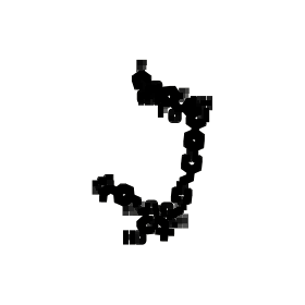 Cc1ncsc1-c1ccc(CNC(=O)[C@@H]2C[C@@H](O)CN2C(=O)[C@@H](NC(=O)CN2CCN(CCC3CCN(c4ccc(-c5cnc6[nH]cc(C(=O)c7c(F)ccc(NS(=O)(=O)N8CC[C@@H](F)C8)c7F)c6c5)cc4)CC3)CC2)C(C)(C)C)cc1